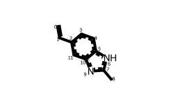 C=Cc1ccc2[nH]c(C)nc2c1